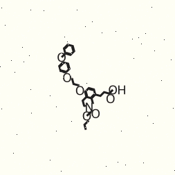 CCCOC(=O)N1CCc2c(OCCCOc3ccc(Oc4ccccc4)cc3)ccc(CCC(=O)O)c2C1